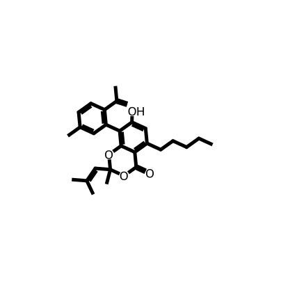 C=C(C)c1ccc(C)cc1-c1c(O)cc(CCCCC)c2c1OC(C)(C=C(C)C)OC2=O